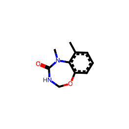 Cc1cccc2c1N(C)C(=O)NCO2